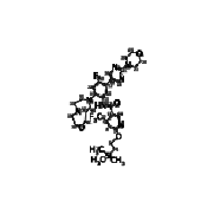 C[Si](C)(C)CCOc1cc(C(F)(F)F)c(C(=O)Nc2cc(-c3cnc(N4CCOCC4)nc3)c(F)cc2N2CCN3CCOCC3C2)cn1